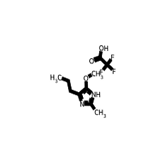 CCCc1nc(C)[nH]c1OC.O=C(O)C(F)(F)F